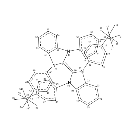 CC(C)(C)c1ccc(N2C(=C3N(c4ccc(C(C)(C)C)cc4)c4ccccc4N3c3ccc(C(C)(C)C)cc3)N(c3ccc(C(C)(C)C)cc3)c3ccccc32)cc1